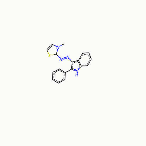 CN1C=CSC1N=Nc1c(-c2ccccc2)[nH]c2ccccc12